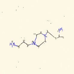 CC(N)CCN1CCN(CCCN)CC1